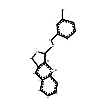 Cc1cccc(COC2OCc3cc4ccccc4nc32)c1